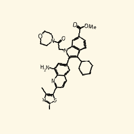 COC(=O)c1ccc2c(C3CCCCC3)c(-c3cc(N)c4nc(-c5sc(C)nc5C)ccc4c3)n(CC(=O)N3CCOCC3)c2c1